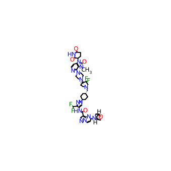 Cn1c(=O)n(C2CCC(=O)NC2=O)c2ccnc(N3CCN([C@@H]4CCN(C[C@H]5CC[C@H](n6cc(NC(=O)c7cnn8ccc(N9C[C@H]%10C[C@@H]9CO%10)nc78)c(C(F)F)n6)CC5)CC4(F)F)CC3)c21